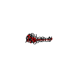 CC(=O)O[C@@]12COC1C[C@H](OC(=O)CCC(=O)OCOC(=O)COCCOCCSSc1ccccn1)[C@@]1(C)C(=O)[C@H](C)C3=C(C)[C@@H](OC(=O)[C@H](O[Si](C)(C)C(C)(C)C)[C@@H](NC(=O)c4ccccc4)c4ccccc4)C[C@@](O)([C@@H](OC(=O)c4ccccc4)[C@@H]12)C3(C)C